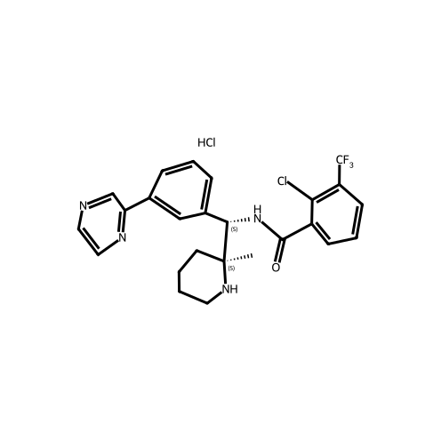 C[C@@]1([C@@H](NC(=O)c2cccc(C(F)(F)F)c2Cl)c2cccc(-c3cnccn3)c2)CCCCN1.Cl